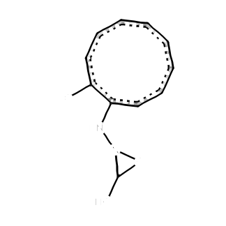 Cc1ccccccccc1NN1OC1O